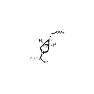 CCCC[C@@H](CCC)N1C[C@@H]2[C@@H](COC)[C@@H]2C1